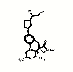 CC(=O)NC(=O)[C@]1(C(C)=O)Cc2cc(N3CCC([C@@H](O)CO)C3)ccc2N2C[C@@H](C)O[C@@H](C)[C@@H]21